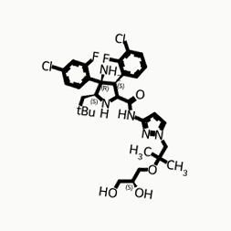 CC(C)(C)C[C@@H]1NC(C(=O)Nc2ccn(CC(C)(C)OC[C@@H](O)CO)n2)[C@H](c2cccc(Cl)c2F)[C@@]1(N)c1ccc(Cl)cc1F